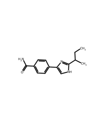 CCC(C)c1nc(-c2ccc(C(N)=O)cc2)c[nH]1